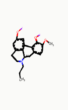 CCCN1CCc2cc(OI)cc3c2[C@H]1Cc1ccc(OC)c(OI)c1-3